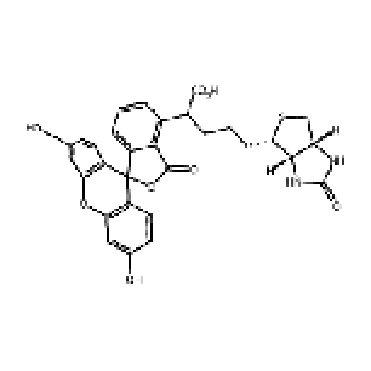 O=C1N[C@H]2[C@H](CS[C@H]2CCCC(C(=O)O)c2cccc3c2C(=O)OC32c3ccc(O)cc3Oc3cc(O)ccc32)N1